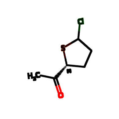 CC(=O)[C@H]1CCC(Cl)S1